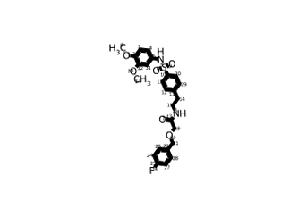 COc1ccc(NS(=O)(=O)c2ccc(CCNC(=O)COCc3ccc(F)cc3)cc2)cc1OC